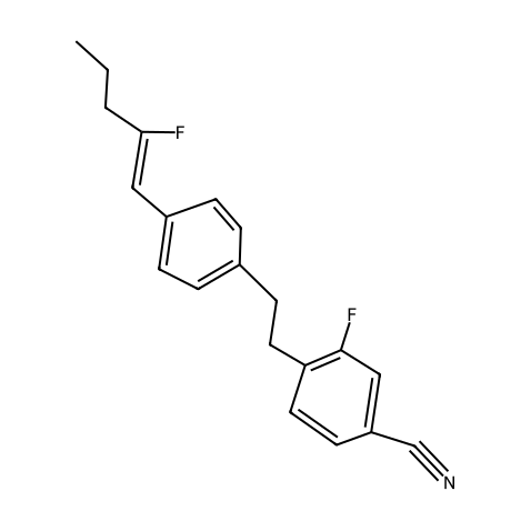 CCCC(F)=Cc1ccc(CCc2ccc(C#N)cc2F)cc1